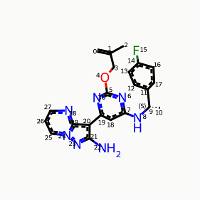 C=C(C)COc1nc(N[C@@H](C)c2ccc(F)cc2)cc(-c2c(N)nn3cccnc23)n1